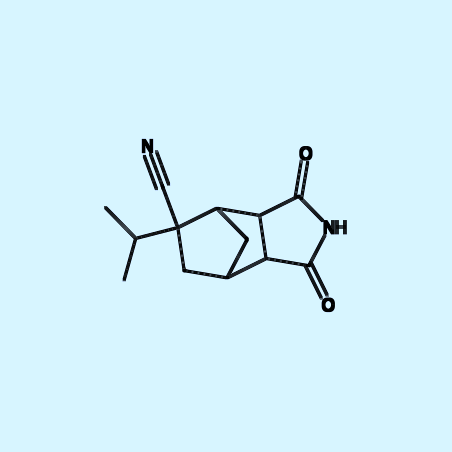 CC(C)C1(C#N)CC2CC1C1C(=O)NC(=O)C21